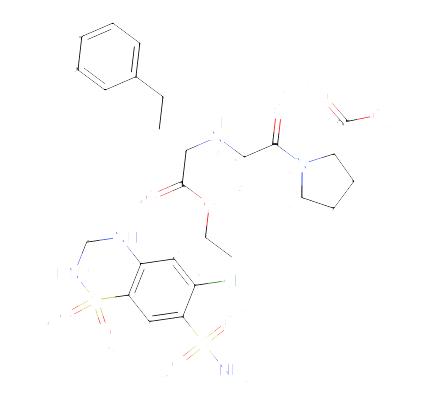 CCOC(=O)[C@H](CCc1ccccc1)N[C@@H](C)C(=O)N1CCC[C@H]1C(=O)O.NS(=O)(=O)c1cc2c(cc1Cl)NCNS2(=O)=O